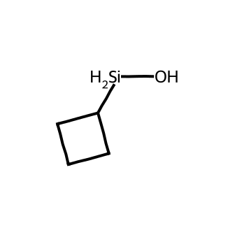 O[SiH2]C1CCC1